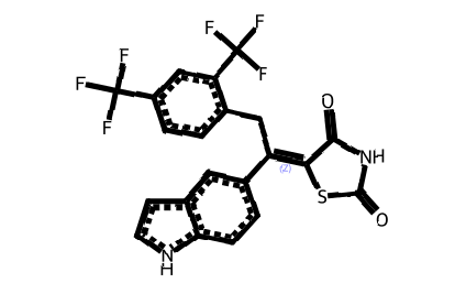 O=C1NC(=O)/C(=C(\Cc2ccc(C(F)(F)F)cc2C(F)(F)F)c2ccc3[nH]ccc3c2)S1